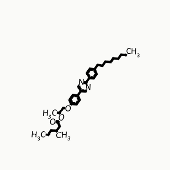 CCCCCCCCCc1ccc(-c2ncc(-c3ccc(OCC(C)OC(=O)CC(C)CCC)cc3)cn2)cc1